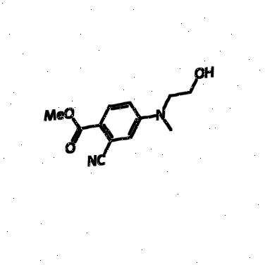 COC(=O)c1ccc(N(C)CCO)cc1C#N